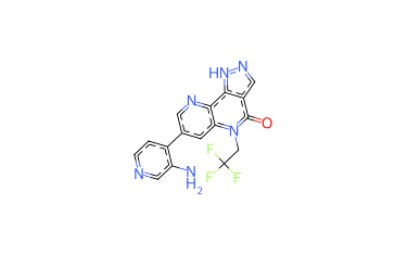 Nc1cnccc1-c1cnc2c3[nH]ncc3c(=O)n(CC(F)(F)F)c2c1